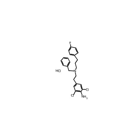 Cl.Nc1c(Cl)cc(CCN(CCCc2ccc(F)cc2)Cc2ccccc2)cc1Cl